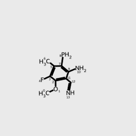 COc1c(F)c(C)c(P)c(N)c1C=N